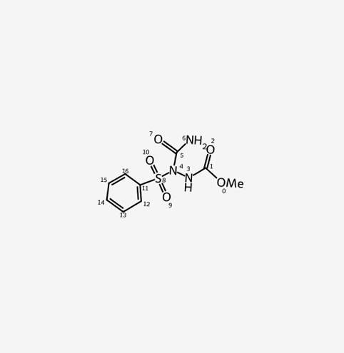 COC(=O)NN(C(N)=O)S(=O)(=O)c1ccccc1